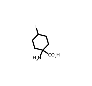 NC1(C(=O)O)CCC(I)CC1